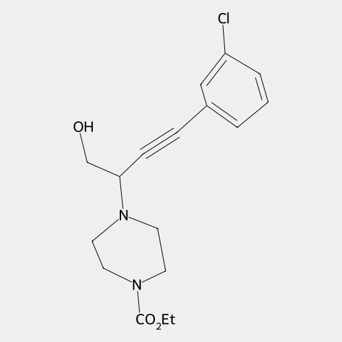 CCOC(=O)N1CCN(C(C#Cc2cccc(Cl)c2)CO)CC1